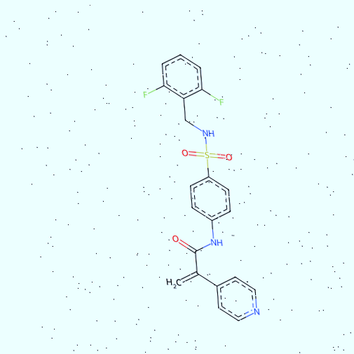 C=C(C(=O)Nc1ccc(S(=O)(=O)NCc2c(F)cccc2F)cc1)c1ccncc1